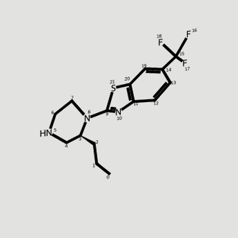 CCC[C@H]1CNCCN1c1nc2ccc(C(F)(F)F)cc2s1